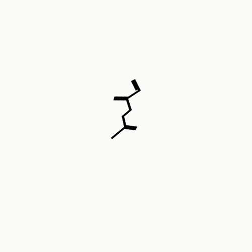 C=CC(=C)CCC(=C)C